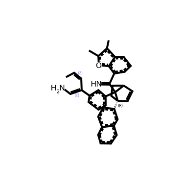 C/C=C\C(=C/N)c1cccc(C2(C(=N)c3cccc4c(C)c(C)oc34)C3C=C[C@@]2(c2ccc4ccccc4c2)CC3)c1